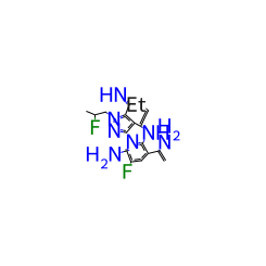 C=C(N)c1cc(F)c(N)nc1N/C(=C/CC)c1cnn(CC(C)F)c1C=N